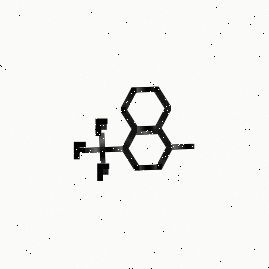 CC1CCC(C(F)(F)F)C2=C1CCCC2